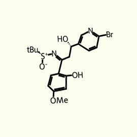 COc1ccc(C(C[C@H](O)c2ccc(Br)nc2)=N[S@@+]([O-])C(C)(C)C)c(O)c1